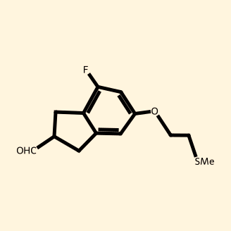 CSCCOc1cc(F)c2c(c1)CC(C=O)C2